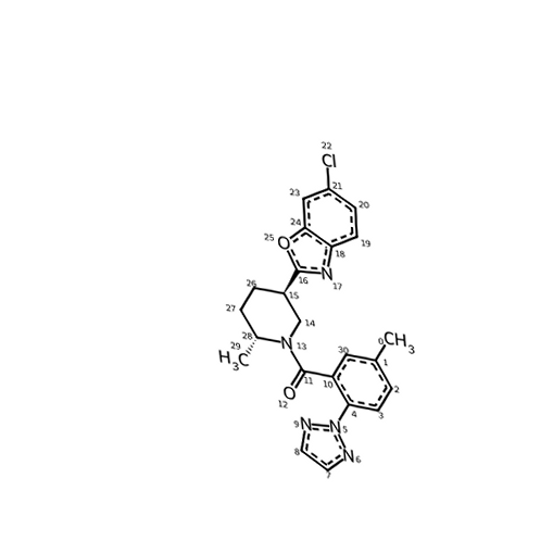 Cc1ccc(-n2nccn2)c(C(=O)N2C[C@H](c3nc4ccc(Cl)cc4o3)CC[C@H]2C)c1